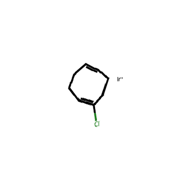 ClC1=CCCC=CCC1.[Ir+]